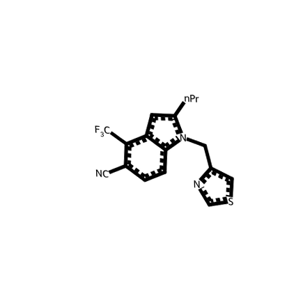 CCCc1cc2c(C(F)(F)F)c(C#N)ccc2n1Cc1cscn1